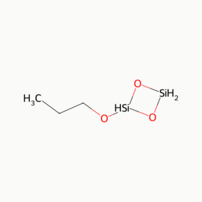 CCCO[SiH]1O[SiH2]O1